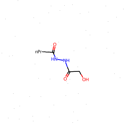 CCCC(=O)NNC(=O)CO